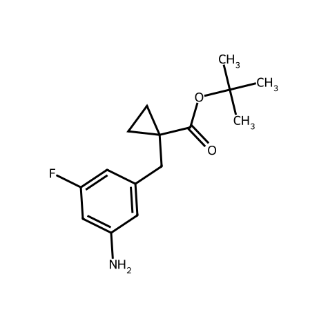 CC(C)(C)OC(=O)C1(Cc2cc(N)cc(F)c2)CC1